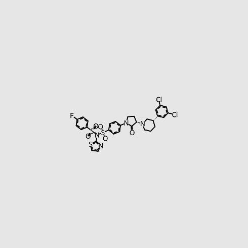 O=C1[C@@H](N2CCC[C@@H](c3cc(Cl)cc(Cl)c3)C2)CCN1c1ccc(S(=O)(=O)N(c2nccs2)S(=O)(=O)c2ccc(F)cc2)cc1